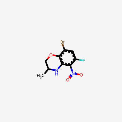 CC1COc2c(Br)cc(F)c([N+](=O)[O-])c2N1